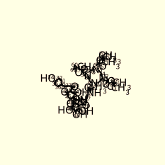 CC(C)(C)OC(=O)CN1CCN(CC(=O)NCCNC(=O)C2O[C@@H](Oc3cc4oc(-c5ccc(O)cc5)cc(=O)c4c(O)c3O)[C@@H](O)C(O)[C@@H]2O)CCN(CC(=O)OC2(C)CC2)CCN(CC(=O)OC(C)(C)C)CC1